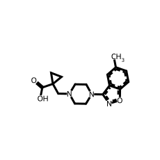 Cc1ccc2onc(N3CCN(CC4(C(=O)O)CC4)CC3)c2c1